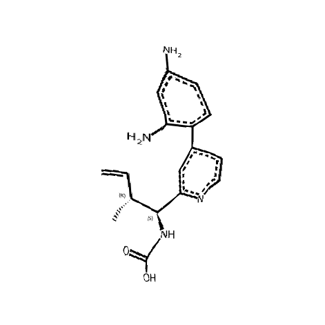 C=C[C@@H](C)[C@H](NC(=O)O)c1cc(-c2ccc(N)cc2N)ccn1